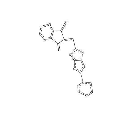 O=C1C(=Cc2nc3sc(-c4ccccc4)nc3s2)C(=O)c2nccnc21